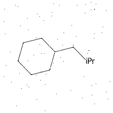 CC(C)[CH]C1CCCCC1